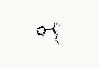 C/C(=N/OC(C)(C)C)c1cs[c]n1